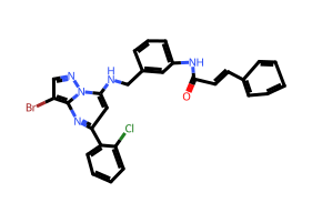 O=C(/C=C/c1ccccc1)Nc1cccc(CNc2cc(-c3ccccc3Cl)nc3c(Br)cnn23)c1